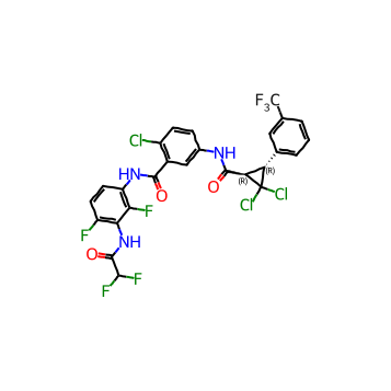 O=C(Nc1ccc(F)c(NC(=O)C(F)F)c1F)c1cc(NC(=O)[C@H]2[C@H](c3cccc(C(F)(F)F)c3)C2(Cl)Cl)ccc1Cl